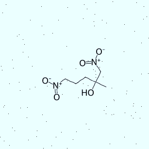 CC(O)(CCC[N+](=O)[O-])C[N+](=O)[O-]